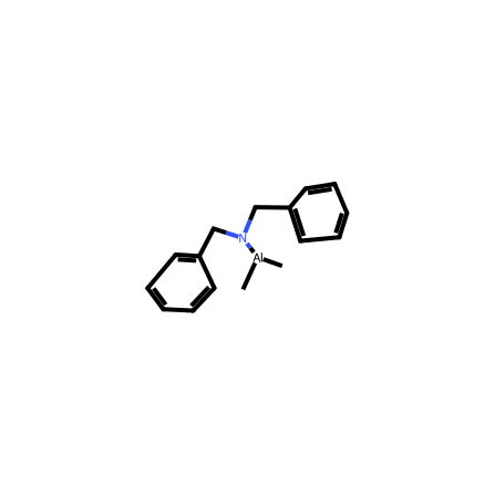 [CH3][Al]([CH3])[N](Cc1ccccc1)Cc1ccccc1